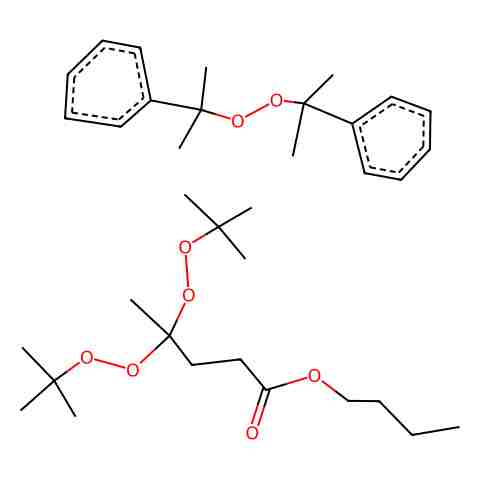 CC(C)(OOC(C)(C)c1ccccc1)c1ccccc1.CCCCOC(=O)CCC(C)(OOC(C)(C)C)OOC(C)(C)C